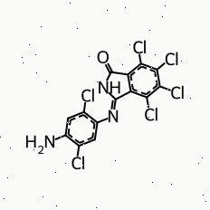 Nc1cc(Cl)c(N=C2NC(=O)c3c(Cl)c(Cl)c(Cl)c(Cl)c32)cc1Cl